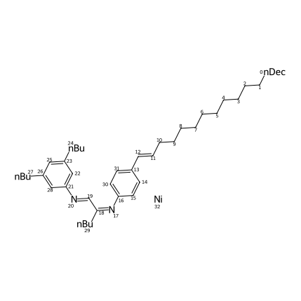 CCCCCCCCCCCCCCCCCCCCC=Cc1ccc(N=C(C=Nc2cc(CCCC)cc(CCCC)c2)CCCC)cc1.[Ni]